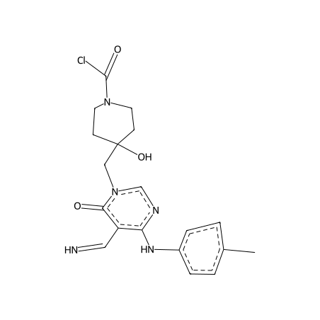 Cc1ccc(Nc2ncn(CC3(O)CCN(C(=O)Cl)CC3)c(=O)c2C=N)cc1